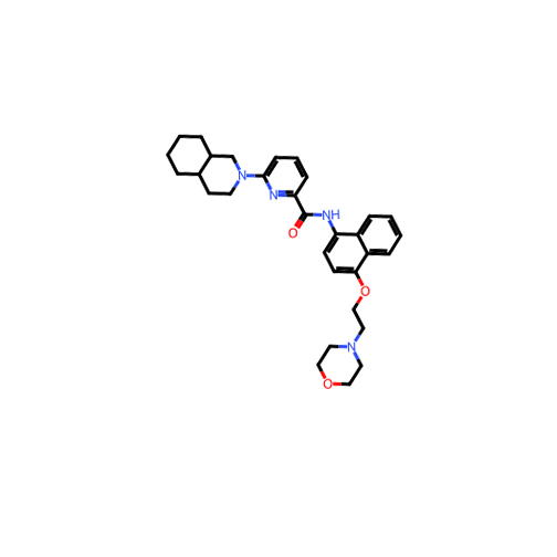 O=C(Nc1ccc(OCCN2CCOCC2)c2ccccc12)c1cccc(N2CCC3CCCCC3C2)n1